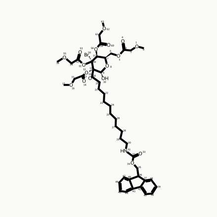 COCC(=O)OC[C@H]1O[C@H](O)[C@@](OC(=O)COC)(C(=O)CCCCCCCCCCCNC(=O)OCC2c3ccccc3-c3ccccc32)[C@@](Br)(OC(=O)COC)[C@H]1OC(=O)COC